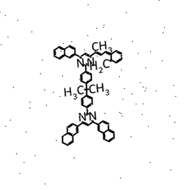 C=c1cccc/c1=C/C=C(\C)c1cc(-c2ccc3ccccc3c2)nc(-c2ccc(C(C)(C)c3ccc(-c4nc(-c5ccc6c(c5)C=CCC6)cc(-c5ccc6ccccc6c5)n4)cc3)cc2)n1